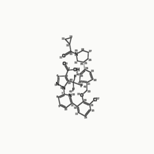 O=C(O)c1cnn(-c2cccc(-c3cccc(Cl)c3OCc3ccc([C@H]4CCCN(C(=O)C5CC5)C4)cc3)n2)c1C(F)(F)F